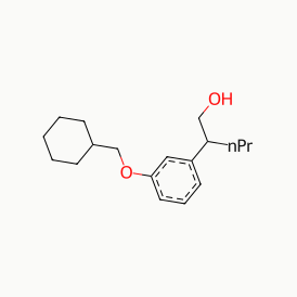 CCCC(CO)c1cccc(OCC2CCCCC2)c1